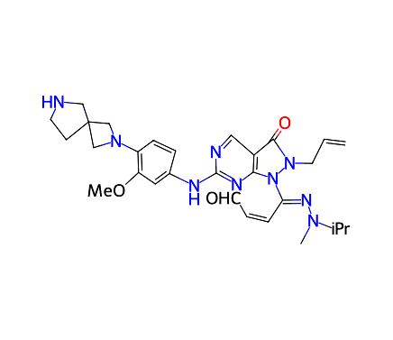 C=CCn1c(=O)c2cnc(Nc3ccc(N4CC5(CCNC5)C4)c(OC)c3)nc2n1C(/C=C\C=O)=N/N(C)C(C)C